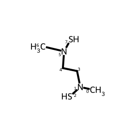 CN(S)CCN(C)S